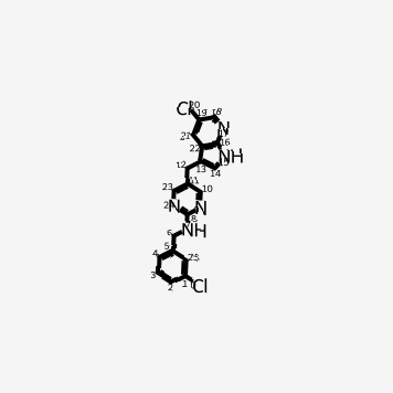 Clc1cccc(CNc2ncc(Cc3c[nH]c4ncc(Cl)cc34)cn2)c1